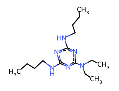 CCCCNc1nc(NCCCC)nc(N(CC)CC)n1